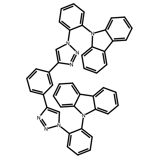 c1cc(-c2cn(-c3ccccc3-n3c4ccccc4c4ccccc43)nn2)cc(-c2cn(-c3ccccc3-n3c4ccccc4c4ccccc43)nn2)c1